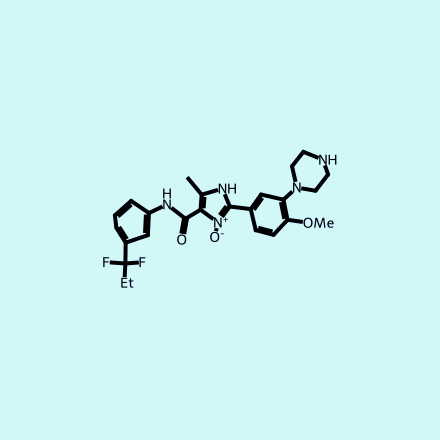 CCC(F)(F)c1cccc(NC(=O)c2c(C)[nH]c(-c3ccc(OC)c(N4CCNCC4)c3)[n+]2[O-])c1